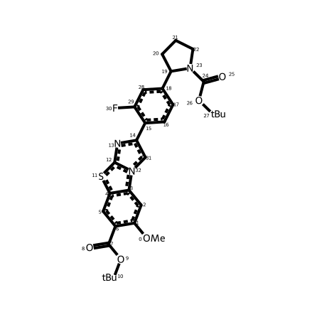 COc1cc2c(cc1C(=O)OC(C)(C)C)sc1nc(-c3ccc(C4CCCN4C(=O)OC(C)(C)C)cc3F)cn12